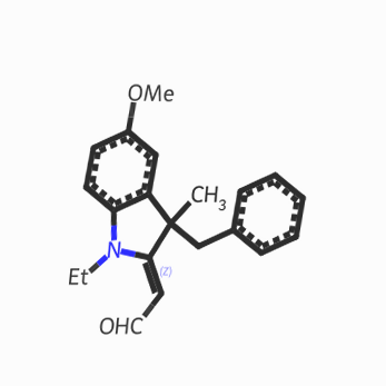 CCN1/C(=C\C=O)C(C)(Cc2ccccc2)c2cc(OC)ccc21